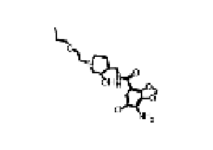 CCCOCCN1CCC(CNC(=O)c2cc(Cl)c(N)c3c2OCO3)C(O)C1